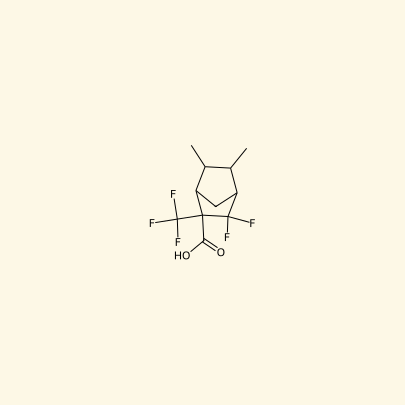 CC1C(C)C2CC1C(F)(F)C2(C(=O)O)C(F)(F)F